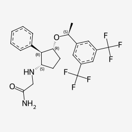 C[C@H](O[C@@H]1CC[C@H](NCC(N)=O)[C@H]1c1ccccc1)c1cc(C(F)(F)F)cc(C(F)(F)F)c1